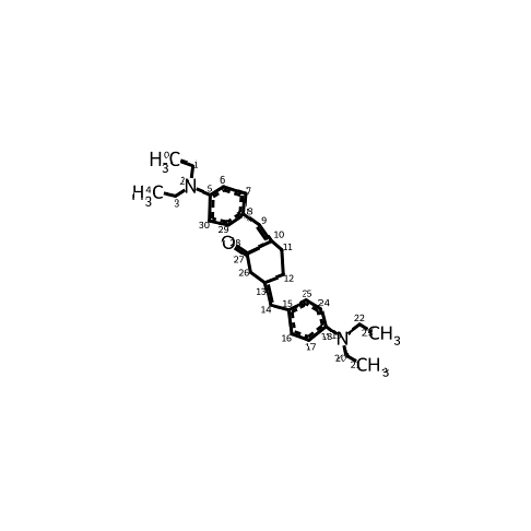 CCN(CC)c1ccc(/C=C2/CC/C(=C\c3ccc(N(CC)CC)cc3)CC2=O)cc1